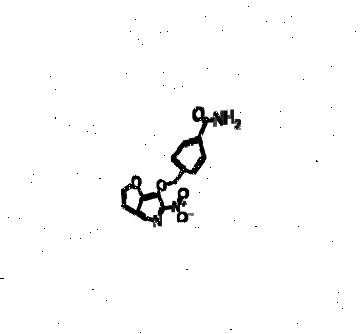 NC(=O)c1ccc(COc2c([N+](=O)[O-])ncc3ccoc23)cc1